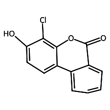 O=c1oc2c(Cl)c(O)ccc2c2ccccc12